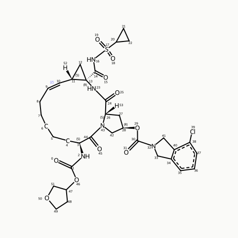 O=C(N[C@H]1CCCCC/C=C\[C@@H]2C[C@@]2(C(=O)NS(=O)(=O)C2CC2)NC(=O)[C@@H]2C[C@@H](OC(=O)N3Cc4cccc(Cl)c4C3)CN2C1=O)OC1CCOC1